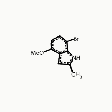 COc1ccc(Br)c2[nH]c(C)cc12